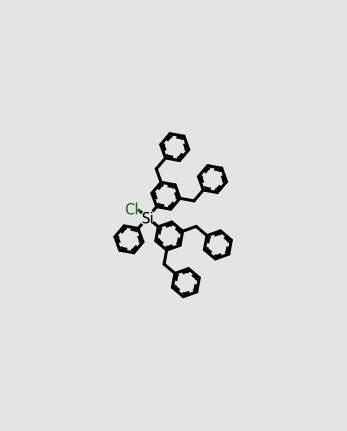 Cl[Si](c1ccccc1)(c1cc(Cc2ccccc2)cc(Cc2ccccc2)c1)c1cc(Cc2ccccc2)cc(Cc2ccccc2)c1